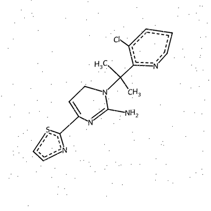 CC(C)(c1ncccc1Cl)N1CC=C(c2nccs2)N=C1N